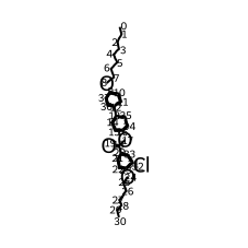 CCCCCCCCOc1ccc(-c2ccc(OC(=O)c3ccc(OCCCCCC)c(Cl)c3)cc2)cc1